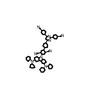 N#Cc1ccc(-c2cc(-c3ccc(-c4cc(C#N)c(-n5c6ccc(N(c7ccccc7)c7ccccc7)cc6c6cc(N(c7ccccc7)c7ccccc7)ccc65)cc4C#N)cc3)nc(-c3ccc(C#N)cc3)n2)cc1